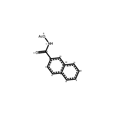 CC(=O)ONC(=O)c1ccc2ccccc2c1